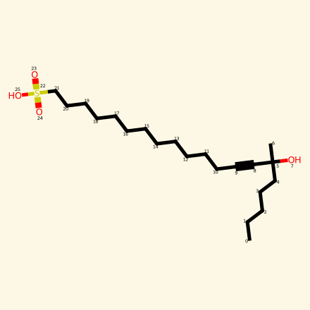 CCCCCC(C)(O)C#CCCCCCCCCCCCCS(=O)(=O)O